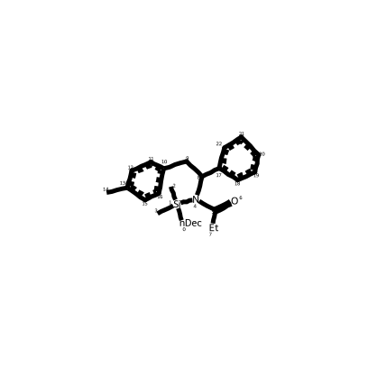 CCCCCCCCCC[Si](C)(C)N(C(=O)CC)C(Cc1ccc(C)cc1)c1ccccc1